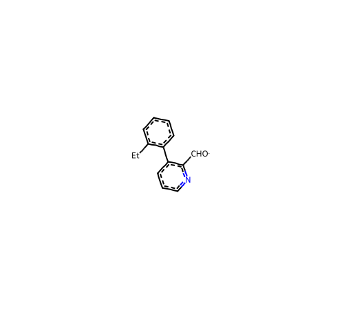 CCc1ccccc1-c1cccnc1[C]=O